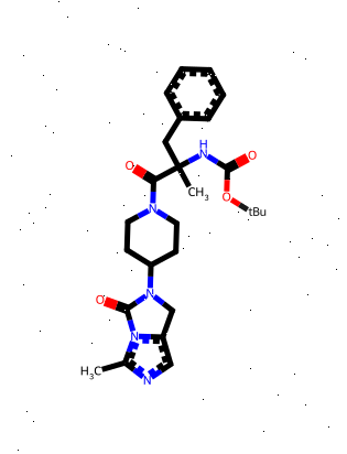 Cc1ncc2n1C(=O)N(C1CCN(C(=O)C(C)(Cc3ccccc3)NC(=O)OC(C)(C)C)CC1)C2